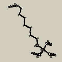 CCCCCCCCCCCCCCCCO[Si](OC)(OC)OC